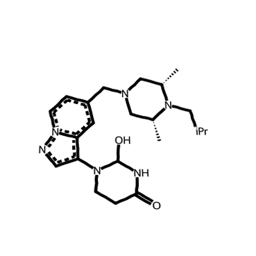 CC(C)CN1[C@H](C)CN(Cc2ccn3ncc(N4CCC(=O)NC4O)c3c2)C[C@@H]1C